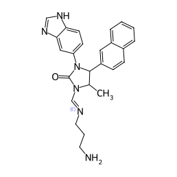 CC1C(c2ccc3ccccc3c2)N(c2ccc3[nH]cnc3c2)C(=O)N1/C=N/CCCN